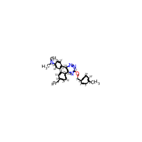 Cc1ccc(COc2nnc(-c3ccc(N(C)C)cc3)c(-c3ccc(C(C)C)cc3)n2)cc1